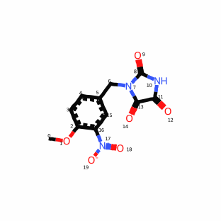 COc1ccc(CN2C(=O)NC(=O)C2=O)cc1[N+](=O)[O-]